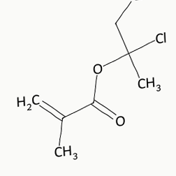 C=C(C)C(=O)OC(C)(Cl)CCl